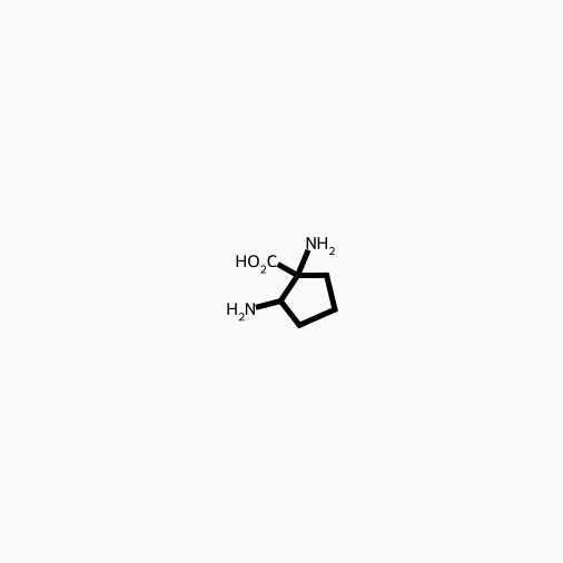 NC1CCCC1(N)C(=O)O